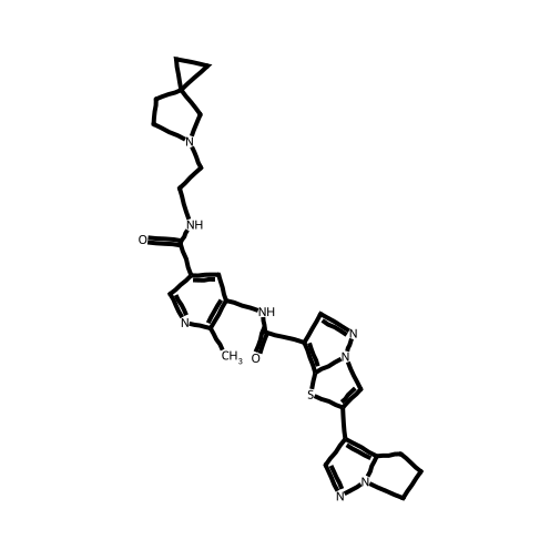 Cc1ncc(C(=O)NCCN2CCC3(CC3)C2)cc1NC(=O)c1cnn2cc(-c3cnn4c3CCC4)sc12